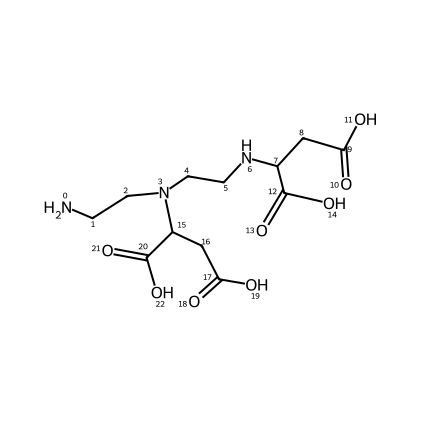 NCCN(CCNC(CC(=O)O)C(=O)O)C(CC(=O)O)C(=O)O